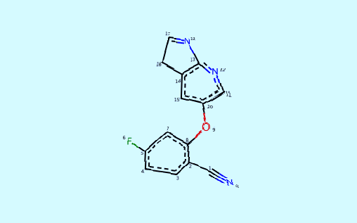 N#Cc1ccc(F)cc1Oc1cnc2c(c1)CC=N2